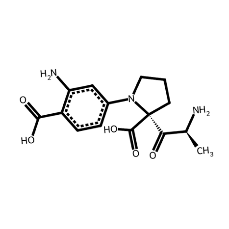 C[C@H](N)C(=O)[C@@]1(C(=O)O)CCCN1c1ccc(C(=O)O)c(N)c1